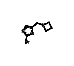 CC(C)c1nc(CN2CCC2)cs1